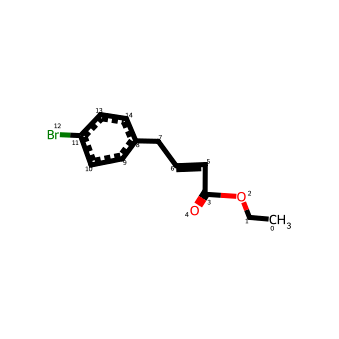 CCOC(=O)C=CCc1ccc(Br)cc1